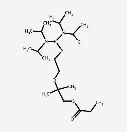 CCC(=O)SCC(C)(C)OCCSP(N(C(C)C)C(C)C)N(C(C)C)C(C)C